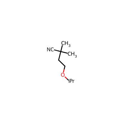 CC(C)OCCC(C)(C)C#N